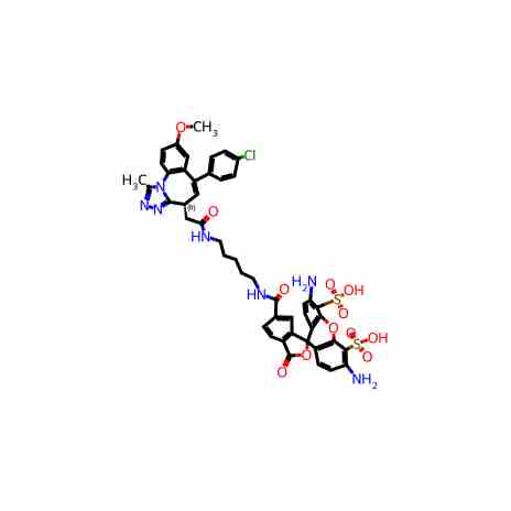 COc1ccc2c(c1)C(c1ccc(Cl)cc1)=C[C@@H](CC(=O)NCCCCCNC(=O)c1ccc3c(c1)C1(OC3=O)c3ccc(N)c(S(=O)(=O)O)c3Oc3c1ccc(N)c3S(=O)(=O)O)c1nnc(C)n1-2